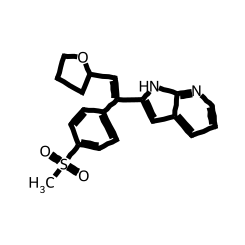 CS(=O)(=O)c1ccc(C(=CC2CCCO2)c2cc3cccnc3[nH]2)cc1